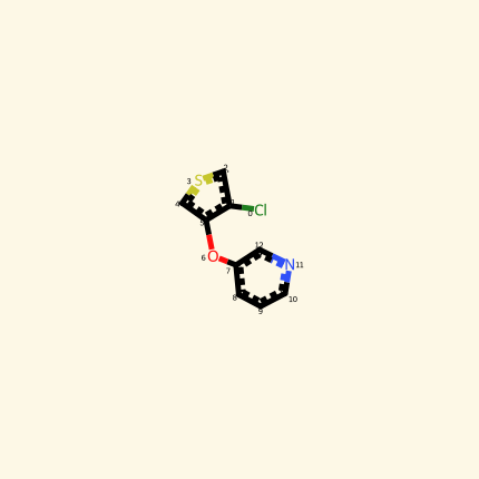 Clc1[c]scc1Oc1cccnc1